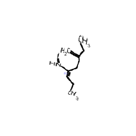 C=C(CC)C/C(=C\CC)NI